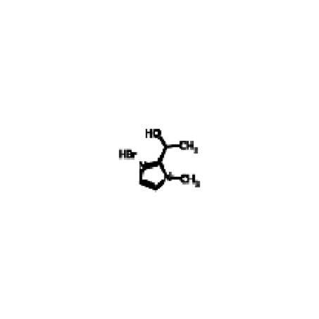 Br.CC(O)c1nccn1C